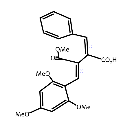 COC(=O)C(=C\c1c(OC)cc(OC)cc1OC)/C(=C\c1ccccc1)C(=O)O